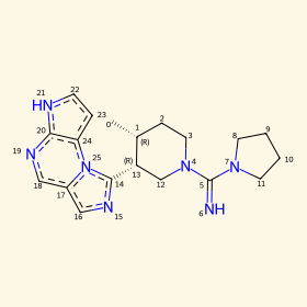 C[C@@H]1CCN(C(=N)N2CCCC2)C[C@@H]1c1ncc2cnc3[nH]ccc3n12